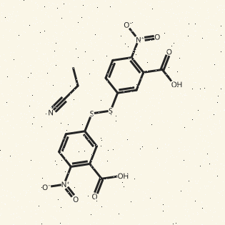 CCC#N.O=C(O)c1cc(SSc2ccc([N+](=O)[O-])c(C(=O)O)c2)ccc1[N+](=O)[O-]